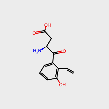 C=Cc1c(O)cccc1C(=O)[C@@H](N)CC(=O)O